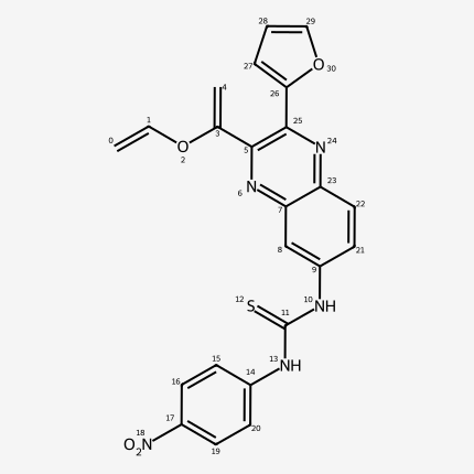 C=COC(=C)c1nc2cc(NC(=S)Nc3ccc([N+](=O)[O-])cc3)ccc2nc1-c1ccco1